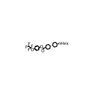 CCCCCC[C@H]1CC[C@H](C2CCC(C(=O)Oc3ccc(OC(F)(F)C(F)F)cc3)CC2)CC1